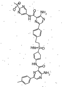 Cc1ccc(-c2cnc(N)c(C(=O)NC3=CCC(S(=N)(=O)CCc4ccc(-c5cnc(N)c(C(=O)Nc6cnc(S(C)(=O)=O)nc6)n5)cc4)C=C3)n2)cc1